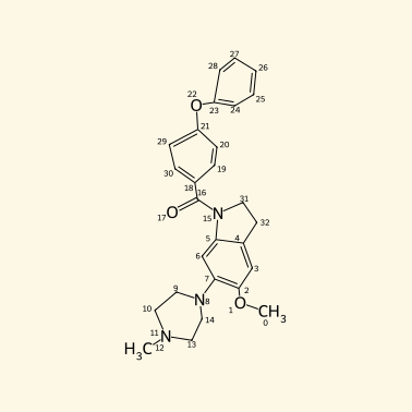 COc1cc2c(cc1N1CCN(C)CC1)N(C(=O)c1ccc(Oc3ccccc3)cc1)CC2